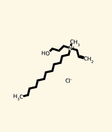 C=CC[N+](C)(CCCO)CCCCCCCCCCCC.[Cl-]